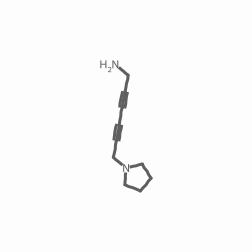 NCC#CC#CCN1CCCC1